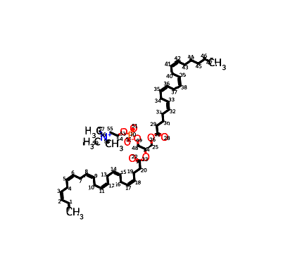 CC/C=C\C/C=C\C/C=C\C/C=C\C/C=C\C/C=C\CCC(=O)O[C@H](COC(=O)CCC/C=C\C/C=C\C/C=C\C/C=C\CCCCC)COP(=O)([O-])OCC[N+](C)(C)C